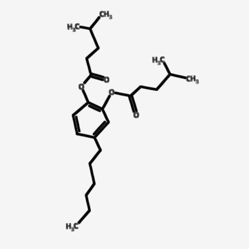 CCCCCCc1ccc(OC(=O)CCC(C)C)c(OC(=O)CCC(C)C)c1